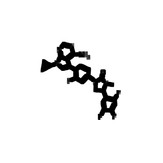 CN1C(=O)N(c2ccc(-c3cn(C4CC4)c4ncnc(N)c34)c(F)c2)CC1c1cc(F)c(F)cc1F